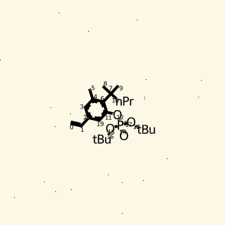 C=Cc1cc(C)c(C(C)(C)CCC)c(OP(=O)(OC(C)(C)C)OC(C)(C)C)c1